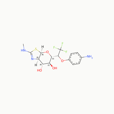 CNC1=N[C@@H]2[C@@H](O)[C@H](O)[C@@H](C(Oc3ccc(N)cc3)C(F)(F)F)O[C@@H]2S1